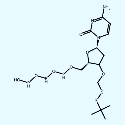 CC(C)(C)SSCOC1C[C@H](n2ccc(N)nc2=O)O[C@@H]1COPOPOPO